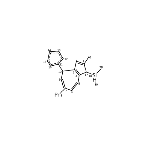 CC1=CC2=C(C=CC(C(C)C)=CC2c2ccccc2)C1[SiH](C)C